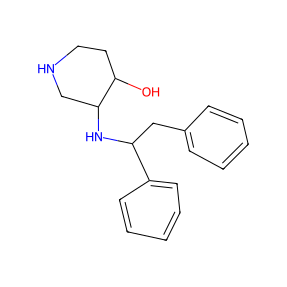 OC1CCNCC1NC(Cc1ccccc1)c1ccccc1